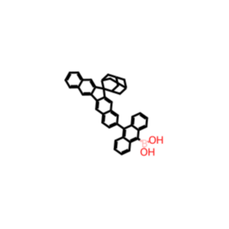 OB(O)c1c2ccccc2c(-c2ccc3cc4c(cc3c2)C2(c3cc5ccccc5cc3-4)C3CC4CC(C3)CC2C4)c2ccccc12